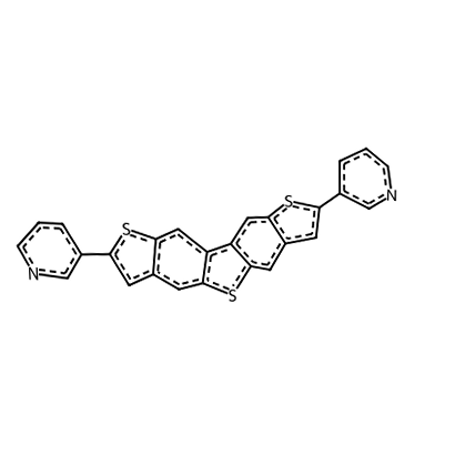 c1cncc(-c2cc3cc4sc5cc6cc(-c7cccnc7)sc6cc5c4cc3s2)c1